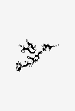 O=C(O)C1=[N+]2C(=O)C[C@@H]2SCC1.O=C(O)Cc1nnc(SCC2=CN3C(=O)C(NC(=O)Cn4cnnn4)[C@@H]3SC2)s1